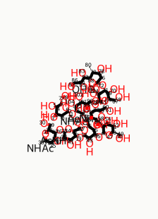 CC(=O)NC1C(O)[C@H](O)[C@H](CO)O[C@H]1OC1[C@@H](OCC2O[C@@H](O[C@@H]3C(CO)O[C@@H](O[C@@H]4C(CO)O[C@@H](C)C(NC(C)=O)[C@H]4O)C(NC(C)=O)[C@H]3O)C(O)[C@@H](O[C@H]3O[C@H](CO)[C@@H](O)C(O)C3O[C@@H]3OC(CO)[C@@H](O[C@@H]4OC(CO)[C@H](O)[C@H](O[C@]5(OC=O)C[C@@H](O)[C@@H](C)C([C@H](O)[C@H](O)CO)O5)C4O)[C@H](O)C3NC(C)=O)[C@@H]2O)OC(CO)[C@@H](O)[C@@H]1O